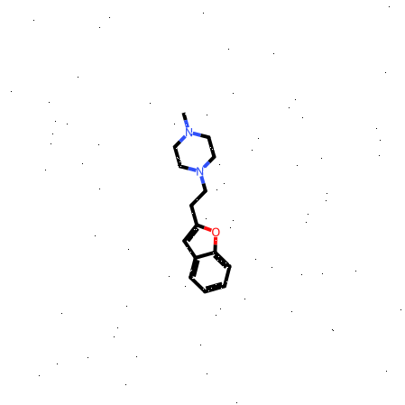 CN1CCN(CCc2cc3ccccc3o2)CC1